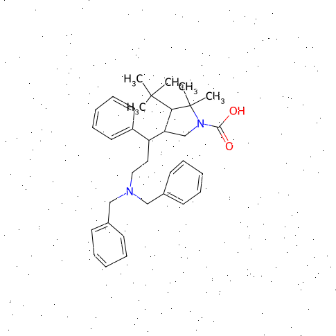 CC(C)(C)C1C(C(CCN(Cc2ccccc2)Cc2ccccc2)c2ccccc2)CN(C(=O)O)C1(C)C